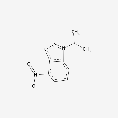 CC(C)n1nnc2c([N+](=O)[O-])cccc21